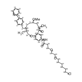 COC1CCN(Cc2ccc(-c3ccccn3)cc2)[C@@H](C)COc2ccc(NC(=O)CCOCCOCCCCCCCl)cc2C(=O)N(C)C1